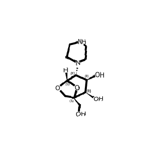 OC[C@@]12CO[C@@H](O1)[C@H](N1CCNCC1)[C@@H](O)[C@H]2O